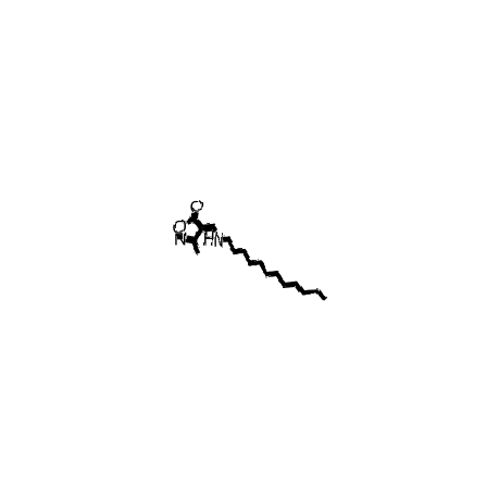 CCCCCCCCCCCCN/C=C1/C(=O)ON=C1C